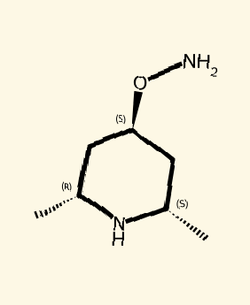 C[C@@H]1C[C@@H](ON)C[C@H](C)N1